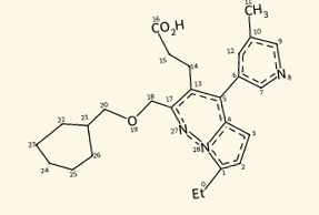 CCc1ccc2c(-c3cncc(C)c3)c(CCC(=O)O)c(COCC3CCCCC3)nn12